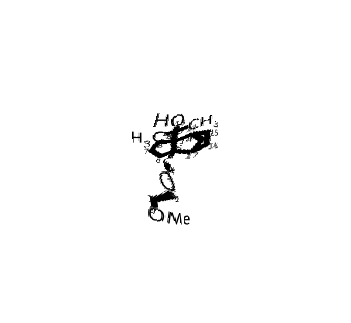 COCCOCC12CCCC1(C(C)(C)O)C1CCC2C1